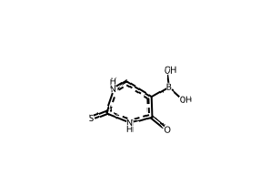 O=c1[nH]c(=S)[nH]cc1B(O)O